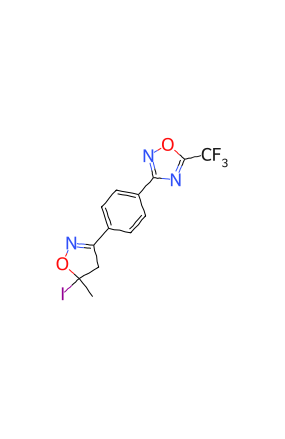 CC1(I)CC(c2ccc(-c3noc(C(F)(F)F)n3)cc2)=NO1